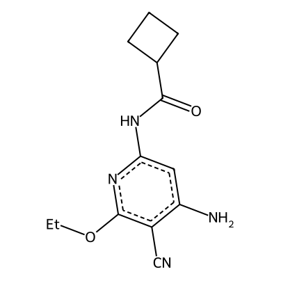 CCOc1nc(NC(=O)C2CCC2)cc(N)c1C#N